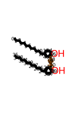 CCCCCCCCCCCCc1ccc(O)c(SSSc2cc(CCCCCCCCCCCC)ccc2O)c1